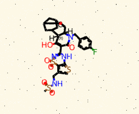 CS(=O)(=O)NCc1csc2c1S(=O)(=O)N=C(C1=C(O)[C@@H]3C4CC5CC(C4)CC(C5)[C@@H]3N(Cc3ccc(F)cc3)C1=O)N2